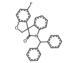 O=C1N(C(c2ccccc2)c2ccccc2)c2ccccc2C12COc1ccc(F)cc12